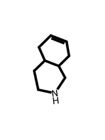 C1=CCC2CNCCC2C1